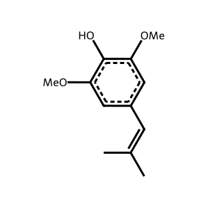 COc1cc(C=C(C)C)cc(OC)c1O